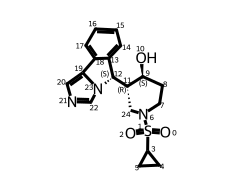 O=S(=O)(C1CC1)N1CC[C@H](O)[C@@H]([C@H]2c3ccccc3-c3cncn32)C1